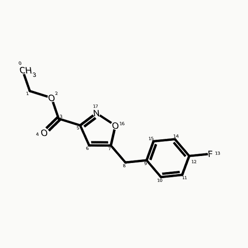 CCOC(=O)c1cc(Cc2ccc(F)cc2)on1